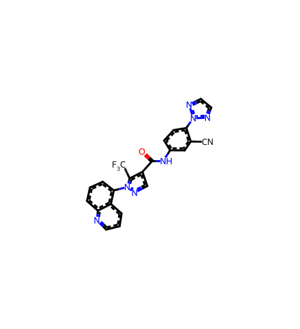 N#Cc1cc(NC(=O)c2cnn(-c3cccc4ncccc34)c2C(F)(F)F)ccc1-n1nccn1